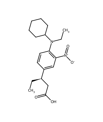 CC[C@H](CC(=O)O)c1ccc(N(CC)C2CCCCC2)c([N+](=O)[O-])c1